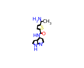 CC(N)c1ccc(C(=O)Nc2ccnc3[nH]ccc23)s1